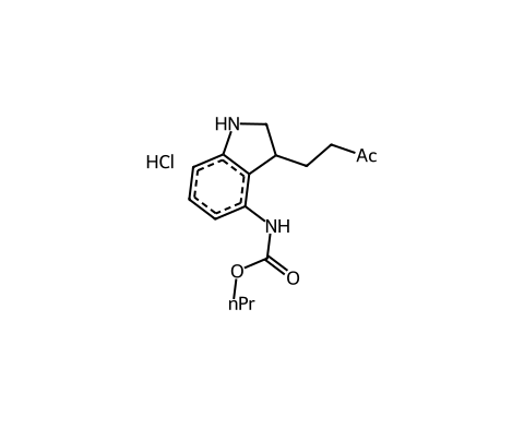 CCCOC(=O)Nc1cccc2c1C(CCC(C)=O)CN2.Cl